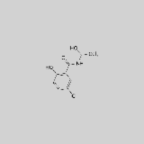 O=C(NC(O)C(Cl)(Cl)Cl)c1cc(Cl)ccc1O